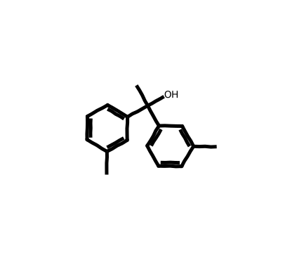 Cc1cccc(C(C)(O)c2cccc(C)c2)c1